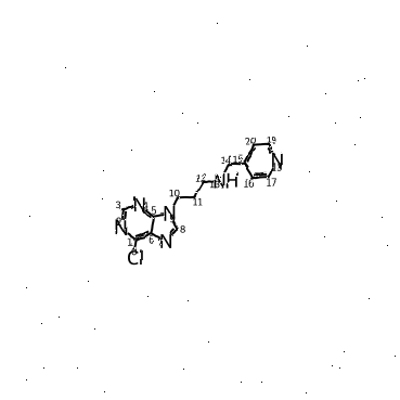 Clc1ncnc2c1ncn2CCCNCc1ccncc1